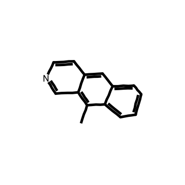 Cc1c2ccccc2cc2ccncc12